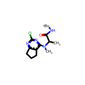 CC(C(=O)NC(C)(C)C)N(C)c1nc(Cl)nc2c1CCC2